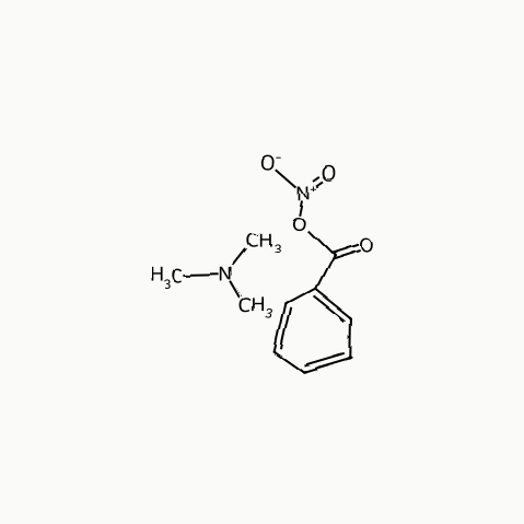 CN(C)C.O=C(O[N+](=O)[O-])c1ccccc1